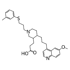 COc1ccc2nccc(CCCC3CCN(CCCSc4cccc(C)c4)CC3CCC(=O)O)c2c1